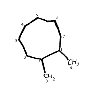 [CH2]C1CCCCCCC1C